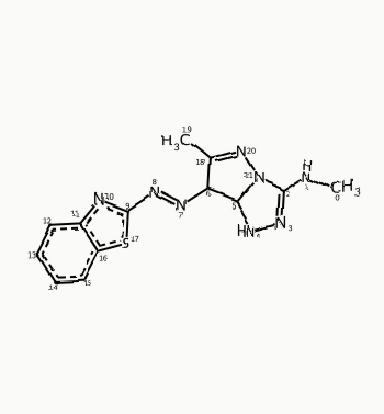 CNC1=NNC2C(N=Nc3nc4ccccc4s3)C(C)=NN12